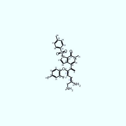 C=C(/C(=C\C=C(\N)CN)Oc1ccc(F)cc1F)c1cn(C)c(=O)c2c1ccn2S(=O)(=O)c1ccc(C)cc1